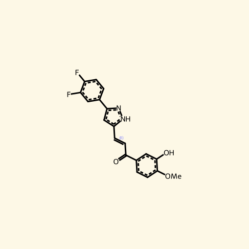 COc1ccc(C(=O)/C=C/c2cc(-c3ccc(F)c(F)c3)n[nH]2)cc1O